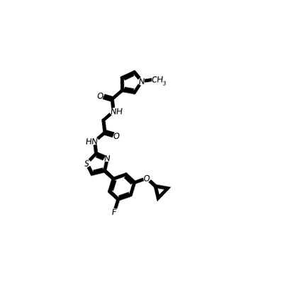 Cn1ccc(C(=O)NCC(=O)Nc2nc(-c3cc(F)cc(OC4CC4)c3)cs2)c1